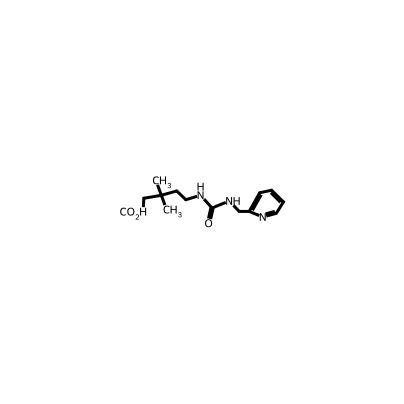 CC(C)(CCNC(=O)NCc1ccccn1)CC(=O)O